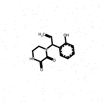 C=CC(c1ccccc1O)N1CCNC(=O)C1=O